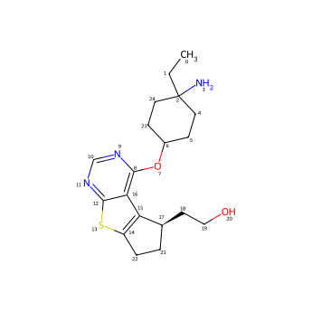 CCC1(N)CCC(Oc2ncnc3sc4c(c23)[C@@H](CCO)CC4)CC1